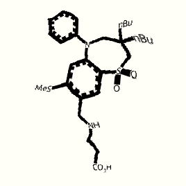 CCCCC1(CCCC)CN(c2ccccc2)c2cc(SC)c(CNCCC(=O)O)cc2S(=O)(=O)C1